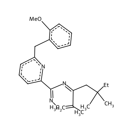 C=C(C)/C(CC(C)(C)CC)=N\C(=N/C)c1cccc(Cc2ccccc2OC)n1